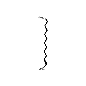 CCCCCCCCCCCCCCCCC=CC=O